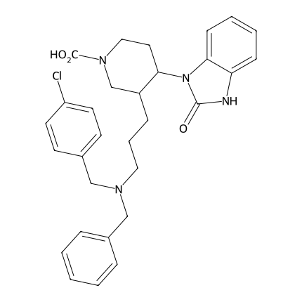 O=C(O)N1CCC(n2c(=O)[nH]c3ccccc32)C(CCCN(Cc2ccccc2)Cc2ccc(Cl)cc2)C1